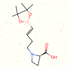 CC1(C)OB(/C=C/CCN2CC[C@@H]2C(=O)O)OC1(C)C